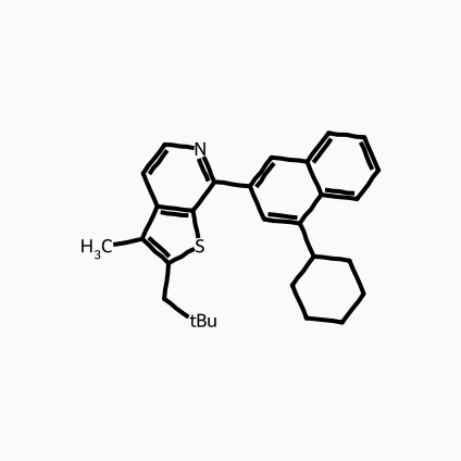 Cc1c(CC(C)(C)C)sc2c(-c3cc(C4CCCCC4)c4ccccc4c3)nccc12